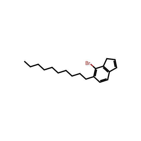 CCCCCCCCCCc1ccc2c(c1Br)CC=C2